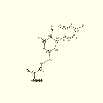 CNC(=S)OCCN1CN(C)C(=S)N(c2ccc(C)cc2C)C1